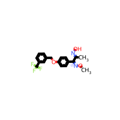 CO/N=C(\C(C)=NO)c1ccc(OCc2cccc(C(F)(F)F)c2)cc1